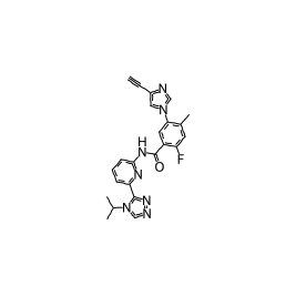 C#Cc1cn(-c2cc(C(=O)Nc3cccc(-c4nncn4C(C)C)n3)c(F)cc2C)cn1